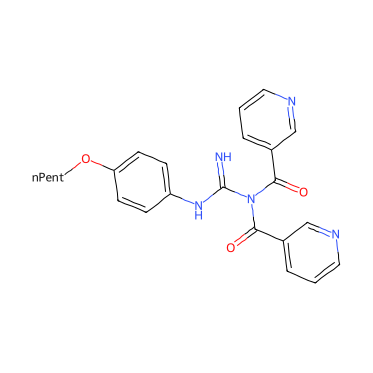 CCCCCOc1ccc(NC(=N)N(C(=O)c2cccnc2)C(=O)c2cccnc2)cc1